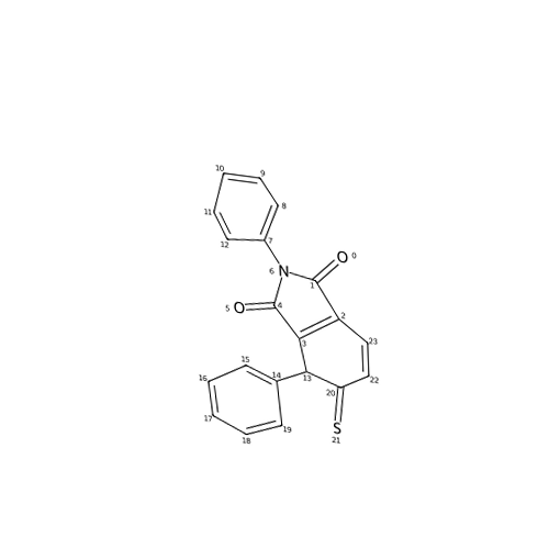 O=C1C2=C(C(=O)N1c1ccccc1)C(c1ccccc1)C(=S)C=C2